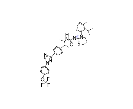 Cc1cccc(N2CCCS/C2=N\C(=O)NC(C)C(C)c2ccc(-c3ncn(-c4ccc(OC(F)(F)F)cc4)n3)cc2)c1C(C)C